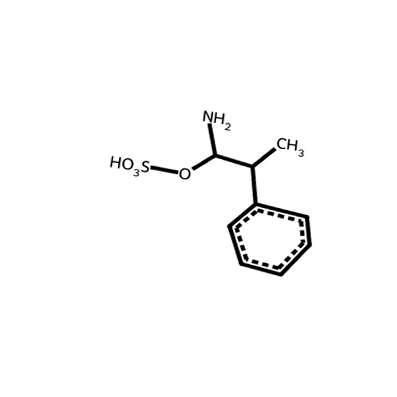 CC(c1ccccc1)C(N)OS(=O)(=O)O